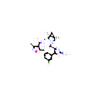 Cc1noc(C)c1C(=O)NC[C@@H]1[C@H]2C[C@H]2CN1C(=O)c1nc(N)sc1-c1cccc(F)c1